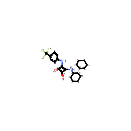 O=c1c(Nc2ccc(C(F)(F)F)cc2)c(NC2CCCC[C@H]2C2CCCCC2)c1=O